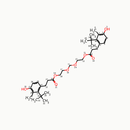 Cc1c(O)ccc(CCC(=O)OCCOCOCCOC(=O)CCc2ccc(O)c(C)c2C(C)(C)C)c1C(C)(C)C